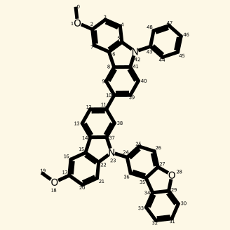 COc1ccc2c(c1)c1cc(-c3ccc4c5cc(OC)ccc5n(-c5ccc6oc7ccccc7c6c5)c4c3)ccc1n2-c1ccccc1